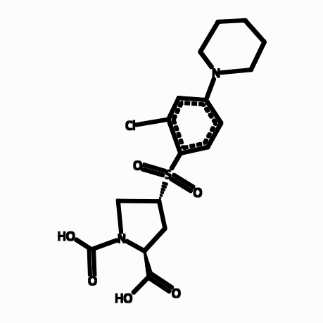 O=C(O)[C@@H]1C[C@@H](S(=O)(=O)c2ccc(N3CCCCC3)cc2Cl)CN1C(=O)O